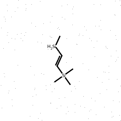 C[SiH2]/C=C/[Si](C)(C)C